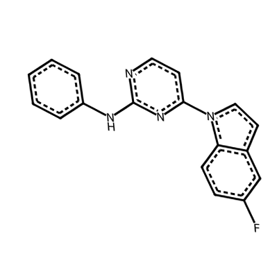 Fc1ccc2c(ccn2-c2ccnc(Nc3ccccc3)n2)c1